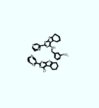 Clc1nc(-c2cnccn2)nc2sc3c(c12)CCCC3.O=[N+]([O-])c1cccc(CNc2nc(-c3cnccn3)nc3sc4c(c23)CCCC4)c1